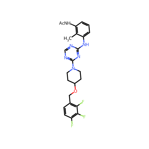 CC(=O)Nc1cccc(Nc2ncnc(N3CCC(OCc4ccc(F)c(F)c4F)CC3)n2)c1C